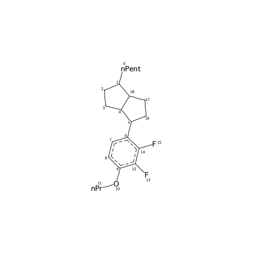 CCCCCC1CCC2C(c3ccc(OCCC)c(F)c3F)CCC12